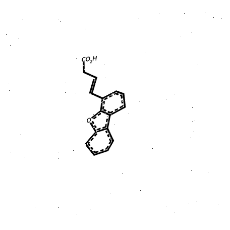 O=C(O)CC=Cc1cccc2c1oc1ccccc12